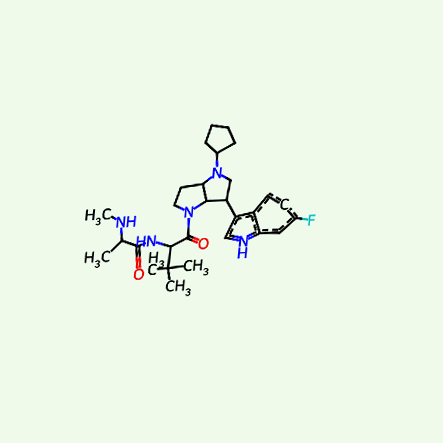 CNC(C)C(=O)NC(C(=O)N1CCC2C1C(c1c[nH]c3cc(F)ccc13)CN2C1CCCC1)C(C)(C)C